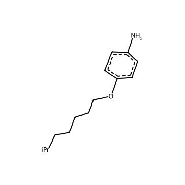 CC(C)CCCCCOc1ccc(N)cc1